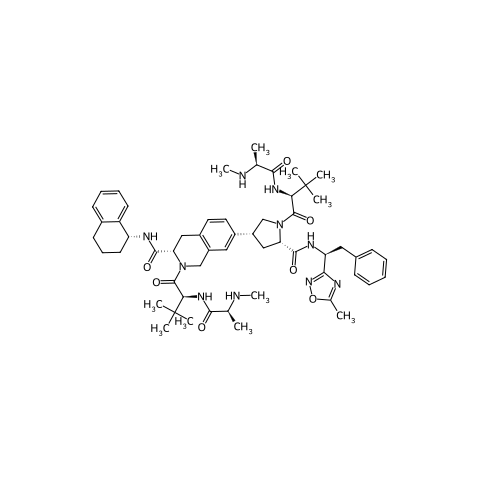 CN[C@@H](C)C(=O)N[C@H](C(=O)N1C[C@@H](c2ccc3c(c2)CN(C(=O)[C@@H](NC(=O)[C@H](C)NC)C(C)(C)C)[C@H](C(=O)N[C@@H]2CCCc4ccccc42)C3)C[C@H]1C(=O)N[C@@H](Cc1ccccc1)c1noc(C)n1)C(C)(C)C